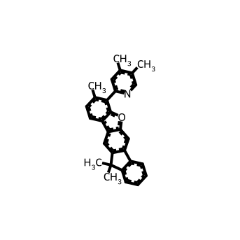 Cc1cnc(-c2c(C)ccc3c2oc2cc4c(cc23)C(C)(C)c2ccccc2-4)cc1C